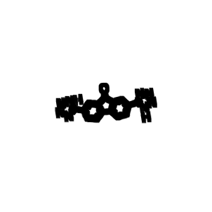 O=C1c2cc(-c3nnn[nH]3)ccc2-c2ccc(-c3nnn[nH]3)cc21